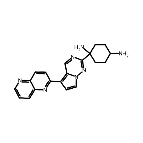 NC1CCC(N)(c2ncc3c(-c4ccc5ncccc5n4)ccn3n2)CC1